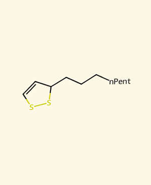 CCCCCCCCC1C=CSS1